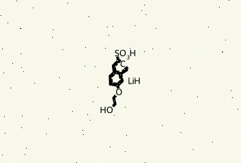 O=S(=O)(O)c1ccc2cc(OCCO)ccc2c1.[LiH]